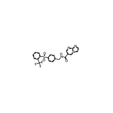 O=C(NCc1ccc(S(=O)(=O)c2ccccc2C(F)(F)F)cc1)c1cnc2nccn2c1